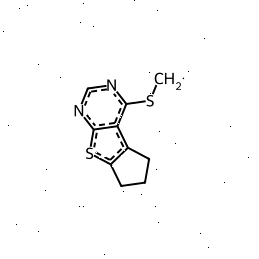 [CH2]Sc1ncnc2sc3c(c12)CCC3